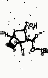 CC(C)(C)OC(=O)N1C(C(=O)O)C[C@H]2C#C[C@H]21